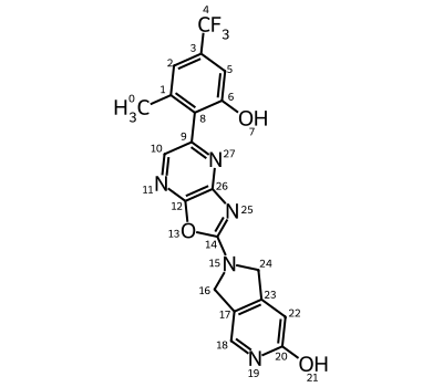 Cc1cc(C(F)(F)F)cc(O)c1-c1cnc2oc(N3Cc4cnc(O)cc4C3)nc2n1